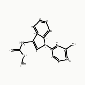 CC(C)(C)OC(=O)Nc1cn(-c2ccnc(Cl)n2)c2ccccc12